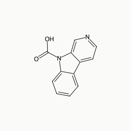 O=C(O)n1c2ccccc2c2ccncc21